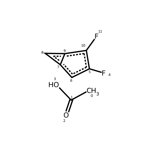 CC(=O)O.Fc1cc2cc-2c1F